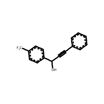 OC(C#Cc1ccccc1)c1ccc(C(F)(F)F)cc1